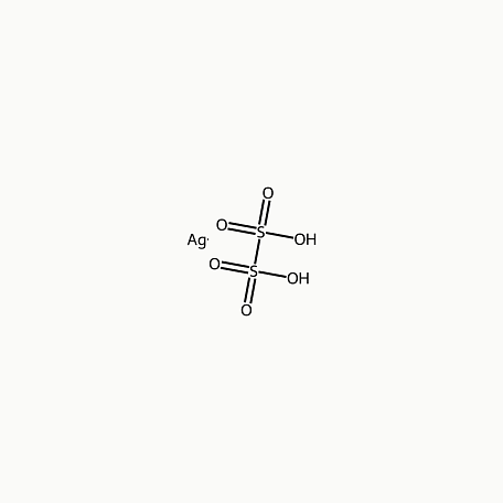 O=S(=O)(O)S(=O)(=O)O.[Ag]